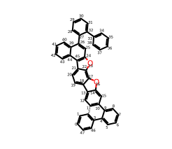 c1ccc(-c2ccccc2-c2ccc3c(c2)oc2c3ccc3c2oc2cc(-c4ccccc4-c4ccccc4)c4ccccc4c23)cc1